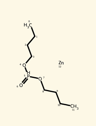 CCCCO[PH](=O)OCCCC.[Zn]